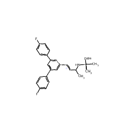 COC(C)(C)NC(C)/C=C/c1cc(-c2ccc(F)cc2)cc(-c2ccc(F)cc2)c1